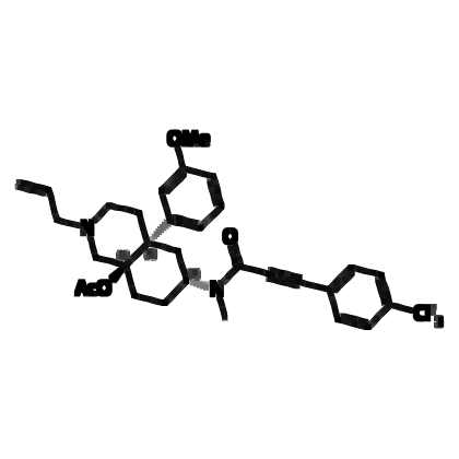 C=CCN1CC[C@@]2(c3cccc(OC)c3)C[C@H](N(C)C(=O)C#Cc3ccc(C(F)(F)F)cc3)CC[C@]2(OC(C)=O)C1